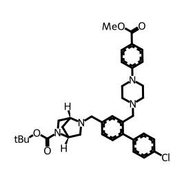 COC(=O)c1ccc(N2CCN(Cc3cc(CN4C[C@H]5C[C@@H]4CN5C(=O)OC(C)(C)C)ccc3-c3ccc(Cl)cc3)CC2)cc1